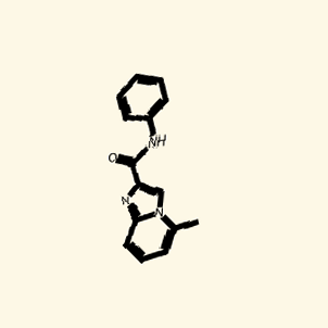 Cc1cccc2nc(C(=O)Nc3ccccc3)cn12